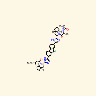 COC(=O)N[C@H](C(=O)N1[C@H](c2ncc(-c3ccc4c(c3)C(F)(F)c3cc(-c5cnc([C@@H]6C[C@H]7CCC[C@H]7N6C(=O)[C@@H](C)[C@@H](C)OC)[nH]5)ccc3-4)[nH]2)C[C@@H]2CCC[C@@H]21)C(C)C